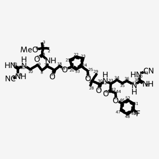 COC(C)(C)C(=O)NC(CCCNC(=N)NC#N)C(=O)COc1cccc(COC(C)(C)C(=O)NC(CCCNC(=N)NC#N)C(=O)COc2ccc(F)cc2)c1